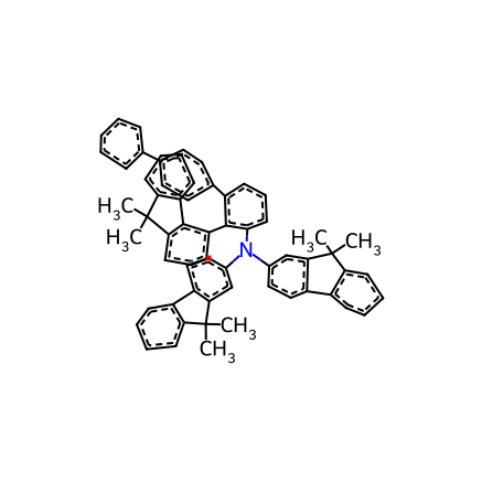 CC1(C)c2ccccc2-c2ccc(N(c3ccc4c(c3)C(C)(C)c3ccccc3-4)c3cccc(-c4ccc(-c5ccccc5)cc4)c3-c3cccc4c3-c3ccccc3C4(C)C)cc21